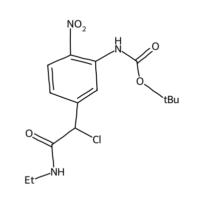 [CH2]CNC(=O)C(Cl)c1ccc([N+](=O)[O-])c(NC(=O)OC(C)(C)C)c1